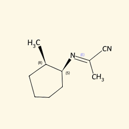 C/C(C#N)=N\[C@H]1CCCC[C@H]1C